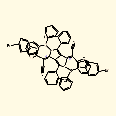 Cc1ccccc1-c1c2/c(=C(\C#N)c3nc4ccc(Br)cc4o3)n(B(c3ccccc3)c3ccccc3)c(-c3ccccc3C)c2/c(=C(\C#N)c2nc3ccc(Br)cc3o2)n1B(c1ccccc1)c1ccccc1